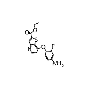 CCOC(=O)c1cc2nccc(Oc3ccc(N)cc3F)c2s1